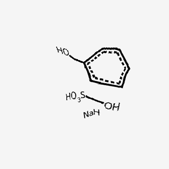 O=S(=O)(O)O.Oc1ccccc1.[NaH]